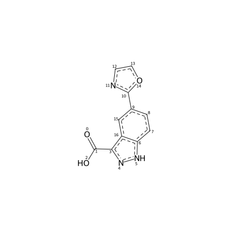 O=C(O)c1n[nH]c2ccc(-c3ncco3)cc12